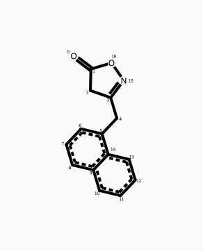 O=C1CC(Cc2cccc3ccccc23)=NO1